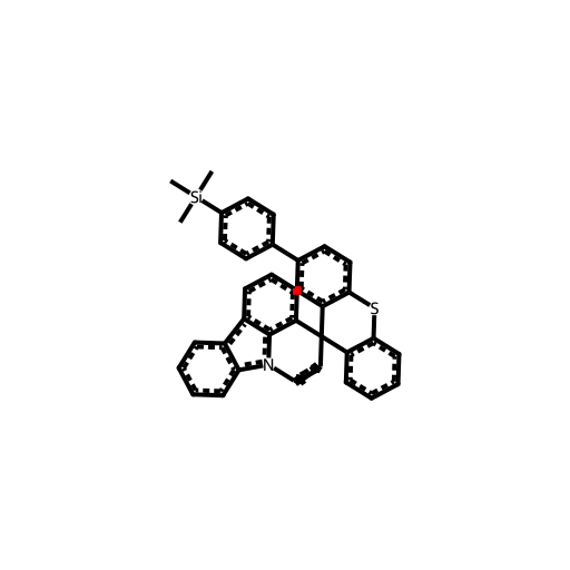 C[Si](C)(C)c1ccc(-c2ccc3c(c2)C2(c4ccccc4S3)c3ccccc3-n3c4ccccc4c4cccc2c43)cc1